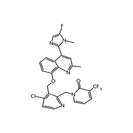 Cc1cc(-c2ncc(F)n2C)c2cccc(OCc3c(Cl)ccnc3Cn3cccc(C(F)(F)F)c3=O)c2n1